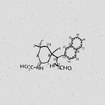 CC1(C)CC(NC(=O)O)CC(C)(C(NC=O)c2ccc3ccccc3c2)C1